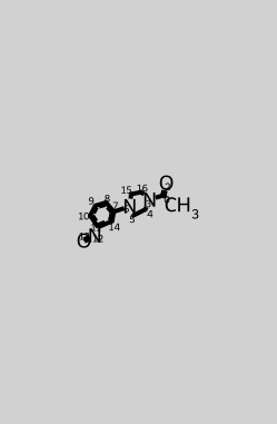 CC(=O)N1CCN(c2cccc(N=O)c2)CC1